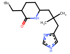 CC(C)(C)CC1CCC(CC(C)(C)Cc2c[nH]cn2)NC1=O